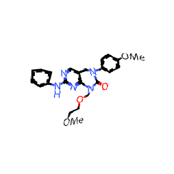 COCCOCN1C(=O)N(c2ccc(OC)cc2)Cc2cnc(Nc3ccccc3)nc21